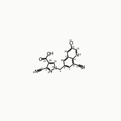 N#Cc1nn(Cc2cc(C#N)c3ncc(Cl)cc3c2)cc1C(=O)O